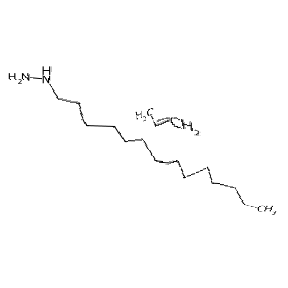 C=CC.CCCCCCCCCCCCCCNN